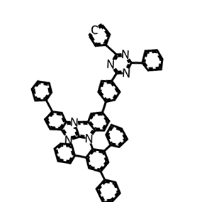 c1ccc(-c2cc(-c3ccccc3)c(-n3c4ccc(-c5ccc(-c6nc(-c7ccccc7)nc(-c7ccccc7)n6)cc5)cc4n4c5cc(-c6ccccc6)ccc5nc34)c(-c3ccccc3)c2)cc1